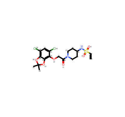 C=CS(=O)(=O)NC1CCN(C(=O)COc2c(Cl)cc(Cl)c3c2OC(C)(C)O3)CC1